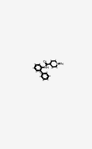 CC(=O)N1CCC(C(=O)Nc2ccccc2-c2ccccc2)CC1